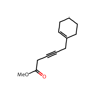 COC(=O)CC#CCC1=CC[CH]CC1